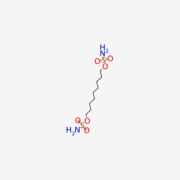 NS(=O)(=O)OCCCCCCCCCOS(N)(=O)=O